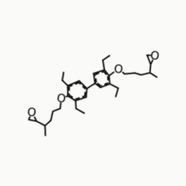 CCc1cc(-c2cc(CC)c(OCCCC(C)C3CO3)c(CC)c2)cc(CC)c1OCCCC(C)C1CO1